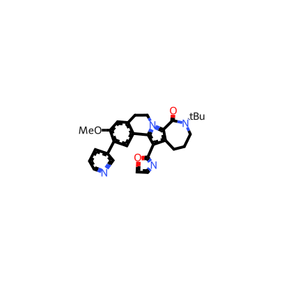 COc1cc2c(cc1-c1cccnc1)-c1c(-c3ncco3)c3c(n1CC2)C(=O)N(C(C)(C)C)CCC3